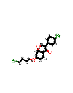 O=c1c(-c2ccc(Br)cc2)coc2cc(OCCCCBr)ccc12